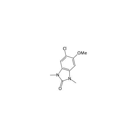 COc1cc2c(cc1Cl)n(C)c(=O)n2C